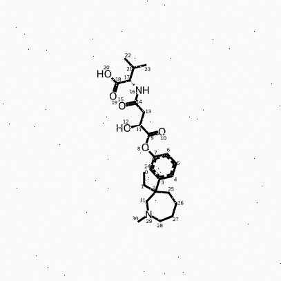 CCC1(c2cccc(OC(=O)[C@@H](O)CC(=O)N[C@H](C(=O)O)C(C)C)c2)CCCCN(C)C1